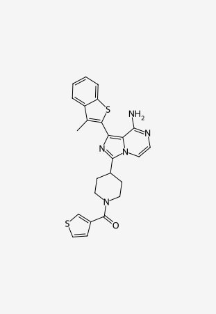 Cc1c(-c2nc(C3CCN(C(=O)c4ccsc4)CC3)n3ccnc(N)c23)sc2ccccc12